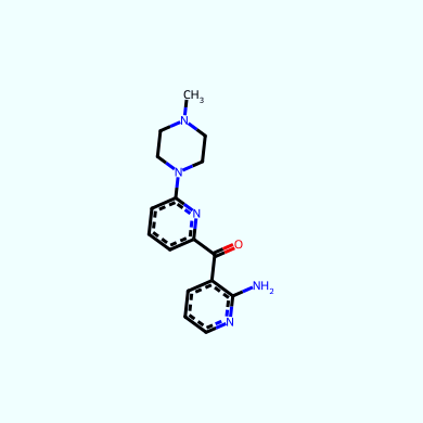 CN1CCN(c2cccc(C(=O)c3cccnc3N)n2)CC1